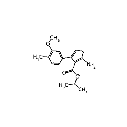 COc1cc(-c2csc(N)c2C(=O)OC(C)C)ccc1C